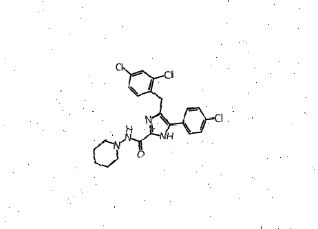 O=C(NN1CCCCC1)c1nc(Cc2ccc(Cl)cc2Cl)c(-c2ccc(Cl)cc2)[nH]1